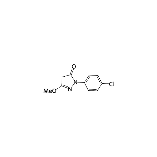 COC1=NN(c2ccc(Cl)cc2)C(=O)C1